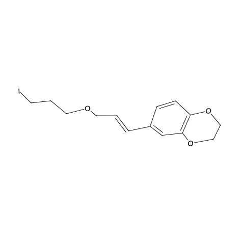 ICCCOCC=Cc1ccc2c(c1)OCCO2